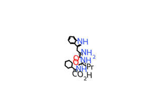 CC(C)[C@H](NC(=O)[C@@H](N)Cc1c[nH]c2ccccc12)C(=O)N[C@H](C(=O)O)C1CCCCC1